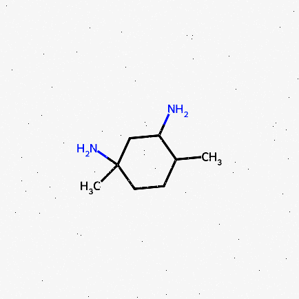 CC1CCC(C)(N)CC1N